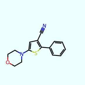 N#Cc1cc(N2CCOCC2)sc1-c1ccccc1